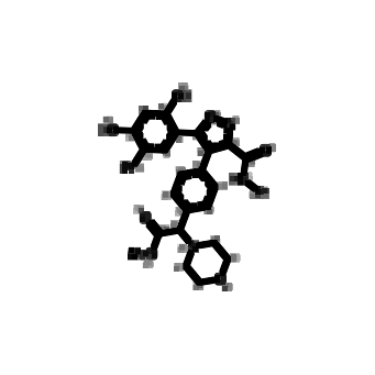 CCNC(=O)c1noc(-c2cc(C(C)C)c(O)cc2O)c1-c1ccc(C(C(=O)OC)N2CCOCC2)cc1